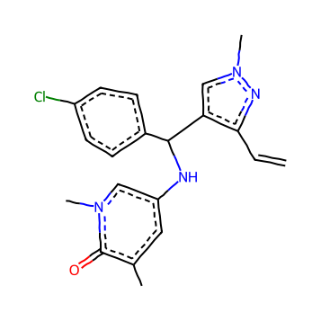 C=Cc1nn(C)cc1C(Nc1cc(C)c(=O)n(C)c1)c1ccc(Cl)cc1